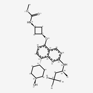 COC(=O)N[C@H]1C[C@@H](Oc2ncc([C@H]3CC[C@H](O)CC3)c3nc(N[C@@H](C)CC(F)(F)F)ncc23)C1